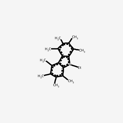 CCn1c2c(C)c(C)c(C)c(C)c2c2c(C)c(C)c(C)c(C)c21